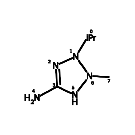 CC(C)N1N=C(N)NN1C